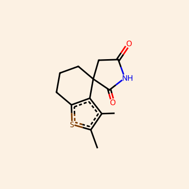 Cc1sc2c(c1C)C1(CCC2)CC(=O)NC1=O